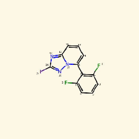 Fc1cccc(F)c1-c1cccc2nc(I)nn12